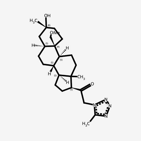 COC[C@]12CC[C@@](C)(O)C[C@@H]1CC[C@H]1[C@@H]3CC[C@H](C(=O)Cn4nnnc4C)C3(C)CC[C@@H]12